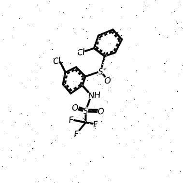 O=S(=O)(Nc1ccc(Cl)cc1[S+]([O-])c1ccccc1Cl)C(F)(F)F